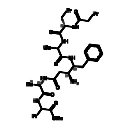 CC[C@H](C)[C@H](NC(=O)C[C@H](N)[C@H](Cc1ccccc1)NC(=O)C(NC(=O)[C@H](CC(C)C)NC(=O)CC(C)C)C(C)(C)C)C(=O)NC(C(=O)OC)C(C)C